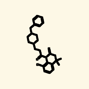 CC1(C)CC(=O)N(C(=O)CCN2CCC(Cc3ccccc3)CC2)c2c(Cl)cccc21